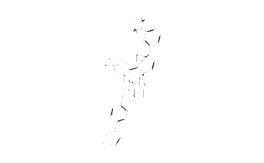 CC1(Oc2nc(NCc3ccc(C4C=COC4)cc3)nc3ccc(-c4cccc(S(C)(=O)=O)c4)nc23)CC1